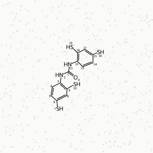 O=C(Nc1ccc(S)cc1S)Nc1ccc(S)cc1S